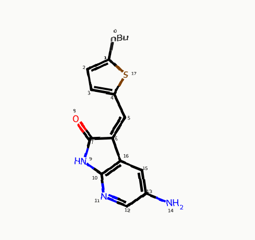 CCCCc1ccc(C=C2C(=O)Nc3ncc(N)cc32)s1